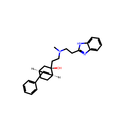 CN(CCc1nc2ccccc2[nH]1)CC[C@@]1(O)C[C@@H]2CC[C@H]1C=C2c1ccccc1